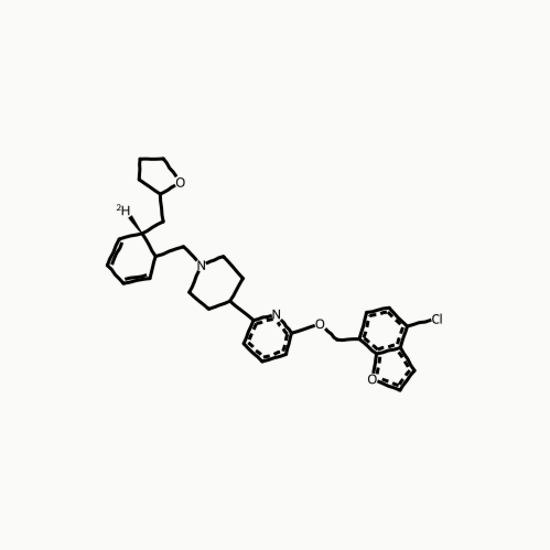 [2H][C@]1(CC2CCCO2)C=CC=CC1CN1CCC(c2cccc(OCc3ccc(Cl)c4ccoc34)n2)CC1